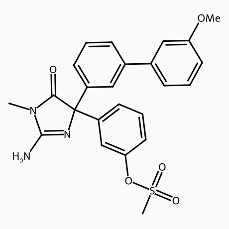 COc1cccc(-c2cccc(C3(c4cccc(OS(C)(=O)=O)c4)N=C(N)N(C)C3=O)c2)c1